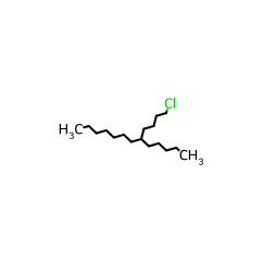 CCCCCCCC(CCCCC)CCCCCl